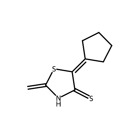 C=c1[nH]c(=S)c(=C2CCCC2)s1